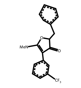 CNC1=C(c2cccc(C(F)(F)F)c2)C(=O)C(Cc2ccccc2)O1